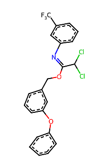 FC(F)(F)c1cccc(/N=C(/OCc2cccc(Oc3ccccc3)c2)C(Cl)Cl)c1